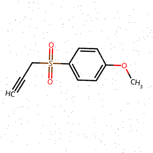 C#CCS(=O)(=O)c1ccc(OC)cc1